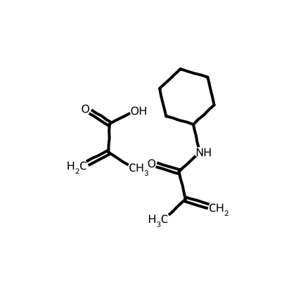 C=C(C)C(=O)NC1CCCCC1.C=C(C)C(=O)O